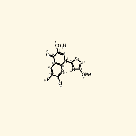 COc1nsc(-n2cc(C(=O)O)c(=O)c3cc(F)c(Cl)nc32)n1